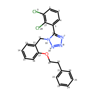 Clc1cccc(-c2nnnn2Cc2ccccc2OCCc2ccccc2)c1Cl